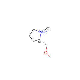 [CH2-][NH+]1CCC[C@H]1COC